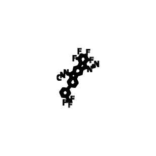 [C-]#[N+]/N=c1\c2cc(-c3cccc(C(F)(F)F)c3)ccc2c2cc3/c(=N/C#N)c4c(F)c(F)c(F)c(F)c4c3cc12